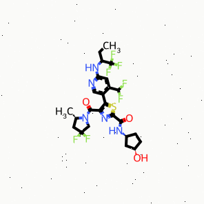 CCC(Nc1cc(C(F)F)c(-c2sc(C(=O)N[C@H]3CC[C@H](O)C3)nc2C(=O)N2CC(F)(F)C[C@@H]2C)cn1)C(F)(F)F